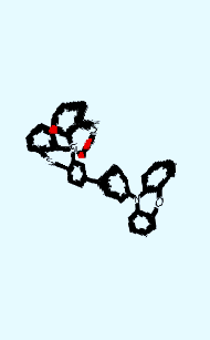 c1ccc2c(c1)Oc1ccccc1N2c1ccc(-c2ccc3c(c2)[Si]2(c4ccccc4Sc4ccccc42)c2ccccc2S3)cc1